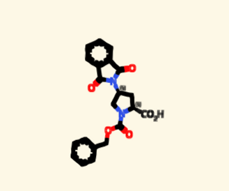 O=C(O)[C@@H]1C[C@H](N2C(=O)c3ccccc3C2=O)CN1C(=O)OCc1ccccc1